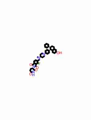 CN(Cc1ccc2c(c1F)C(=O)N(C1CCC(=O)NC1=O)C2=O)C1CCN(c2ccc([C@@H]3c4ccc(O)cc4CC[C@@H]3c3ccccc3)cc2)CC1